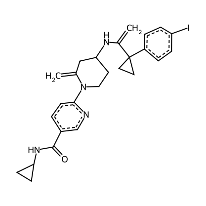 C=C1CC(NC(=C)C2(c3ccc(I)cc3)CC2)CCN1c1ccc(C(=O)NC2CC2)cn1